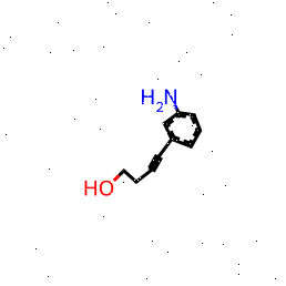 Nc1cccc(C#CCCO)c1